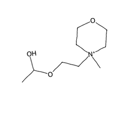 CC(O)OCC[N+]1(C)CCOCC1